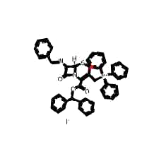 O=C(OC(c1ccccc1)c1ccccc1)C1=C(C[P+](c2ccccc2)(c2ccccc2)c2ccccc2)CS[C@@H]2C(/N=C/c3ccccc3)C(=O)N12.[I-]